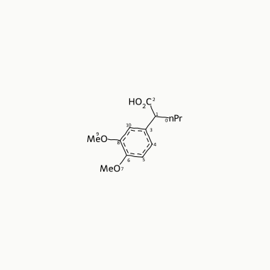 CCCC(C(=O)O)c1ccc(OC)c(OC)c1